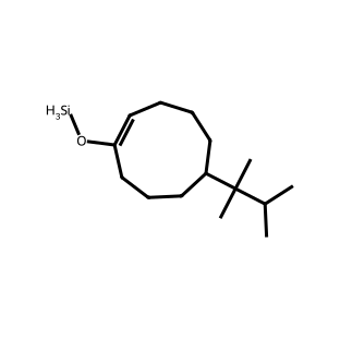 CC(C)C(C)(C)C1CCCC=C(O[SiH3])CCC1